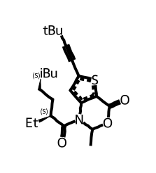 CC[C@H](C)CC[C@H](CC)C(=O)N1c2cc(C#CC(C)(C)C)sc2C(=O)OC1C